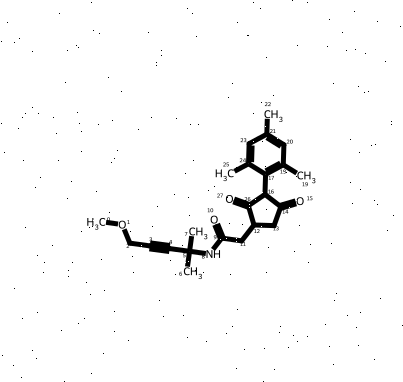 COCC#CC(C)(C)NC(=O)CC1CC(=O)C(c2c(C)cc(C)cc2C)C1=O